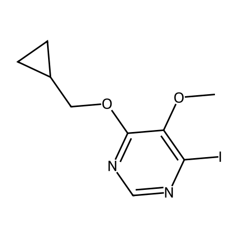 COc1c(I)ncnc1OCC1CC1